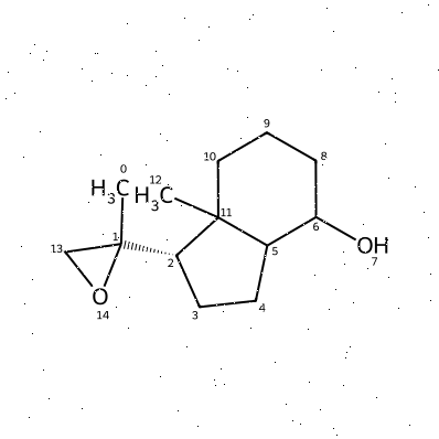 CC1([C@H]2CCC3C(O)CCCC32C)CO1